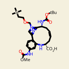 COC(=O)Nc1ccc2c(c1)N[C@@H](C(=O)O)CC=CC[C@H](NC(=O)OC(C)(C)C)c1nc-2cn1COCC[Si](C)(C)C